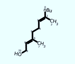 CCCC/C(C)=C/CC/C(C)=C/CO